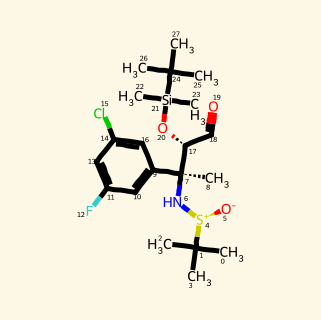 CC(C)(C)[S@+]([O-])N[C@@](C)(c1cc(F)cc(Cl)c1)[C@@H](C=O)O[Si](C)(C)C(C)(C)C